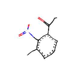 CC(=O)c1cccc(C)c1[N+](=O)[O-]